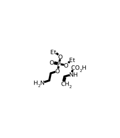 C=CNC(=O)O.CCOP(=O)(OCC)OCCN